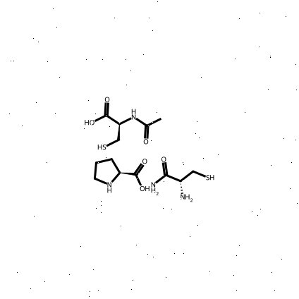 CC(=O)N[C@@H](CS)C(=O)O.NC(=O)[C@@H](N)CS.O=C(O)[C@@H]1CCCN1